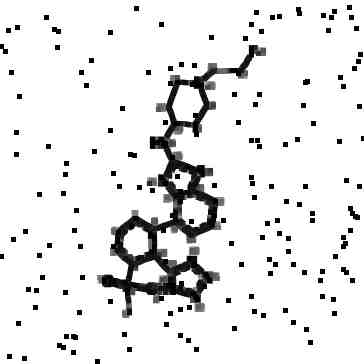 CS(=O)(=O)c1cccc(-c2cccc3sc(NC4CCN(CCF)CC4)nc23)c1-c1nnn[nH]1